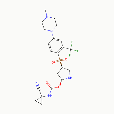 CN1CCN(c2ccc(S(=O)(=O)[C@H]3CN[C@@H](OC(=O)NC4(C#N)CC4)C3)c(C(F)(F)F)c2)CC1